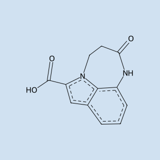 O=C1CCn2c(C(=O)O)cc3cccc(c32)N1